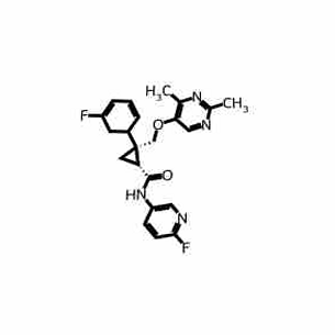 Cc1ncc(OC[C@@]2(C3C=CC=C(F)C3)C[C@H]2C(=O)Nc2ccc(F)nc2)c(C)n1